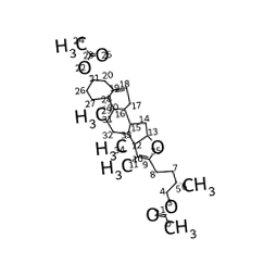 CC(=O)OC[C@@H](C)CCC1=C(C)C2C(CC3C4CC=C5C[C@@H](OC(C)=O)CC[C@]5(C)C4CC[C@@]32C)O1